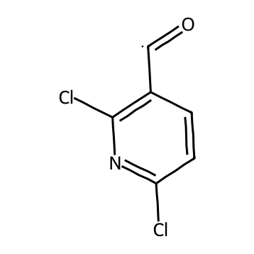 O=[C]c1ccc(Cl)nc1Cl